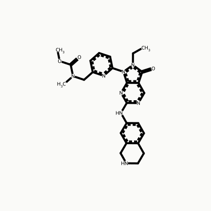 CCn1c(=O)c2cnc(Nc3ccc4c(c3)CNCC4)nc2n1-c1cccc(CN(C)C(=O)OC)n1